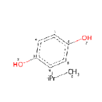 C[C](C)C.Oc1ccc(O)cc1